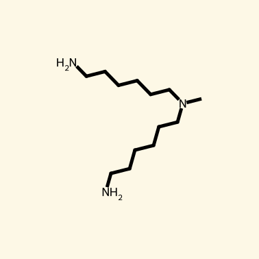 CN(CCCCCCN)CCCCCCN